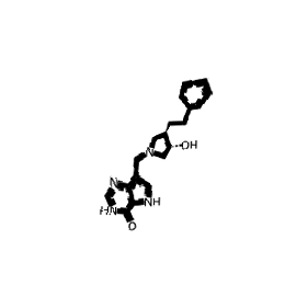 O=c1[nH]cnc2c(CN3C[C@@H](CCc4ccccc4)[C@H](O)C3)c[nH]c12